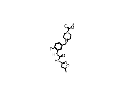 COC(=O)N1CCN(Cc2ccc(F)c(NC(=O)NC3=NOC(C)C3)c2)CC1